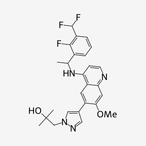 COc1cc2nccc(NC(C)c3cccc(C(F)F)c3F)c2cc1-c1cnn(CC(C)(C)O)c1